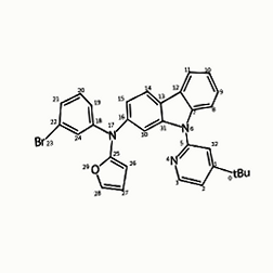 CC(C)(C)c1ccnc(-n2c3ccccc3c3ccc(N(c4cccc(Br)c4)c4ccco4)cc32)c1